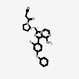 N#CCC(=O)N1CCC[C@H]1Cc1nc(-c2ccc(Oc3ccccc3)cc2F)c2c(N)nccn12